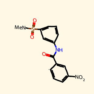 CNS(=O)(=O)c1cccc(NC(=O)c2[c]ccc([N+](=O)[O-])c2)c1